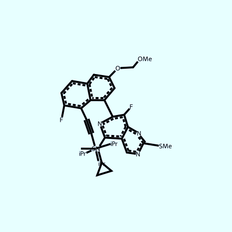 COCOc1cc(-c2nc(N(C)C3CC3)c3cnc(SC)nc3c2F)c2c(C#C[Si](C(C)C)(C(C)C)C(C)C)c(F)ccc2c1